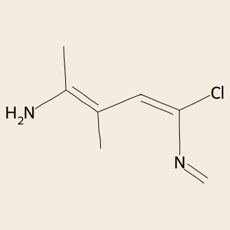 C=N/C(Cl)=C\C(C)=C(/C)N